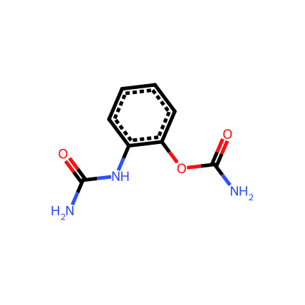 NC(=O)Nc1ccccc1OC(N)=O